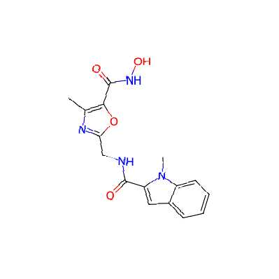 Cc1nc(CNC(=O)c2cc3ccccc3n2C)oc1C(=O)NO